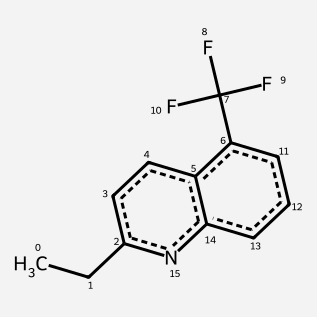 CCc1ccc2c(C(F)(F)F)cccc2n1